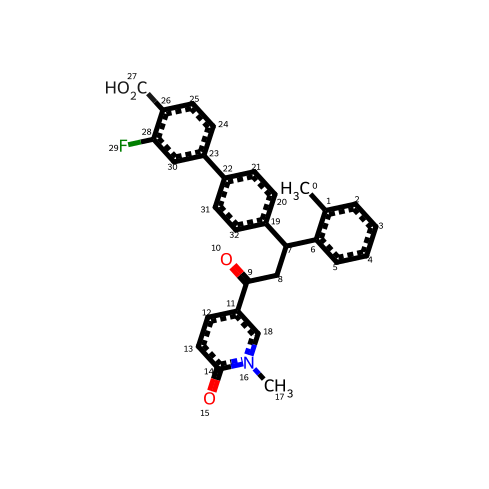 Cc1ccccc1C(CC(=O)c1ccc(=O)n(C)c1)c1ccc(-c2ccc(C(=O)O)c(F)c2)cc1